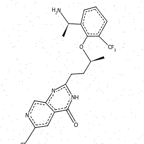 C[C@@H](CCc1nc2cnc(Cl)cc2c(=O)[nH]1)Oc1c([C@@H](C)N)cccc1C(F)(F)F